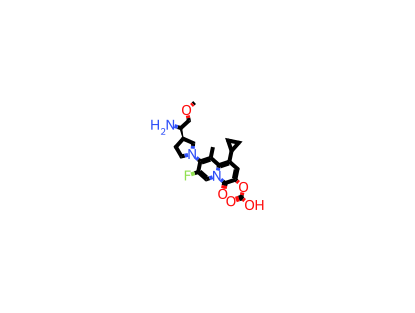 COCC(N)[C@@H]1CCN(c2c(F)cn3c(=O)c(OC(=O)O)cc(C4CC4)c3c2C)C1